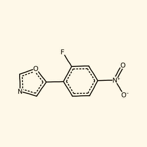 O=[N+]([O-])c1ccc(-c2cnco2)c(F)c1